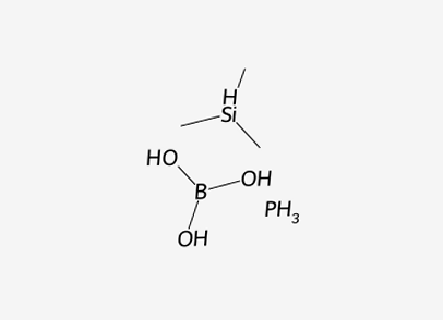 C[SiH](C)C.OB(O)O.P